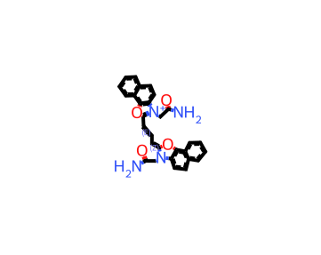 NC(=O)CN1/C(=C/C=C/c2oc3c4ccccc4ccc3[n+]2CC(N)=O)Oc2c1ccc1ccccc21